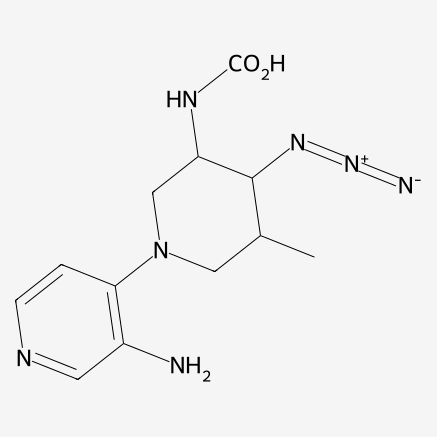 CC1CN(c2ccncc2N)CC(NC(=O)O)C1N=[N+]=[N-]